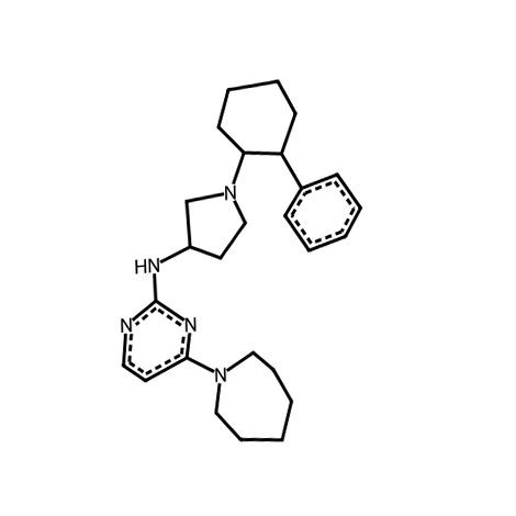 c1ccc(C2CCCCC2N2CCC(Nc3nccc(N4CCCCCC4)n3)C2)cc1